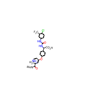 C=C(/C=C(\C=C/N)Oc1ccc(C(NC(=O)Nc2ccc(Cl)c(C(F)(F)F)c2)C(=O)O)cc1)C(=O)NC